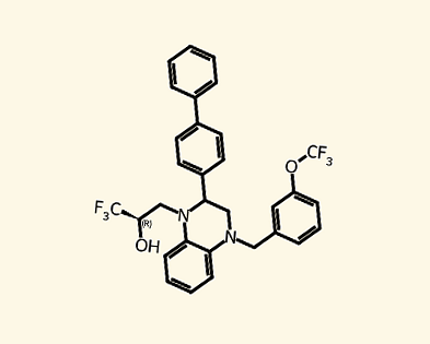 O[C@H](CN1c2ccccc2N(Cc2cccc(OC(F)(F)F)c2)CC1c1ccc(-c2ccccc2)cc1)C(F)(F)F